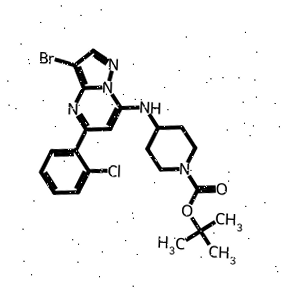 CC(C)(C)OC(=O)N1CCC(Nc2cc(-c3ccccc3Cl)nc3c(Br)cnn23)CC1